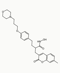 Cc1ccc2cc(CC(CCc3ccc(OCCCN4CCOCC4)cc3)C(=O)NO)c(=O)oc2c1